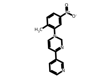 Cc1ccc([N+](=O)[O-])cc1N1C=CC(c2cccnc2)=NC1